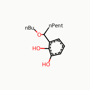 CCCCCC(OCCCC)c1cccc(O)c1O